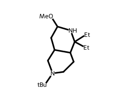 CCC1(CC)NC(OC)CC2CN(C(C)(C)C)CCC21